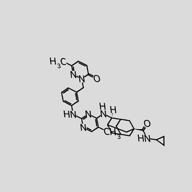 Cc1ccc(=O)n(Cc2cccc(Nc3ncc(C)c(N[C@H]4C5CC6CC4C[C@@](C(=O)NC4CC4)(C6)C5)n3)c2)n1